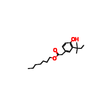 CCCCCCCOC(=O)Cc1ccc(O)c(C(C)(C)CC)c1